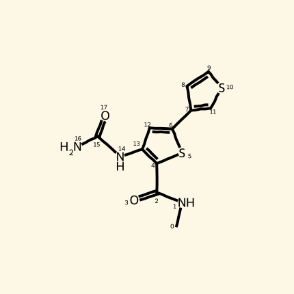 CNC(=O)c1sc(-c2ccsc2)cc1NC(N)=O